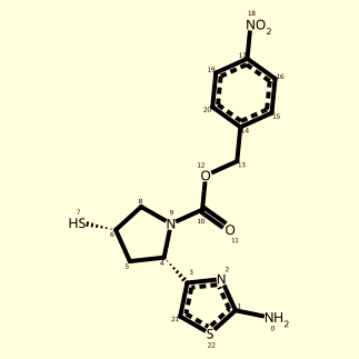 Nc1nc([C@@H]2C[C@H](S)CN2C(=O)OCc2ccc([N+](=O)[O-])cc2)cs1